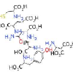 CC(C)C(N)C(=O)O.NC(=O)CC(N)C(=O)O.NC(CC(=O)O)C(=O)O.NC(CCC(=O)O)C(=O)O.NC(CS)C(=O)O.NC(Cc1ccc(O)cc1)C(=O)O